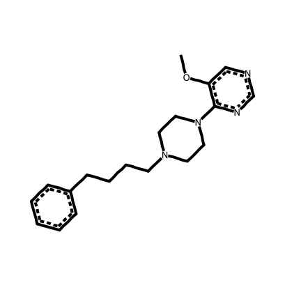 COc1cncnc1N1CCN(CCCCc2ccccc2)CC1